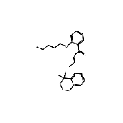 CC1(C)CCSc2ccccc21.CCCCCOc1ccccc1C(=O)OCC